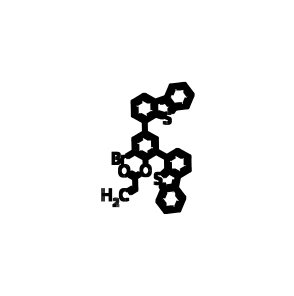 C=CC(=O)Oc1c(Br)cc(-c2cccc3c2sc2ccccc23)cc1-c1cccc2c1sc1ccccc12